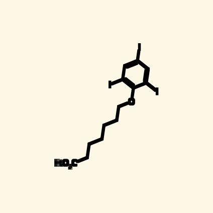 CCOC(=O)CCCCCCOc1c(I)cc(I)cc1I